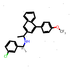 CC(N[C@H](C)c1cccc(Cl)c1)c1cc(-c2ccc(OC(F)(F)F)cc2)c2ccccc2c1